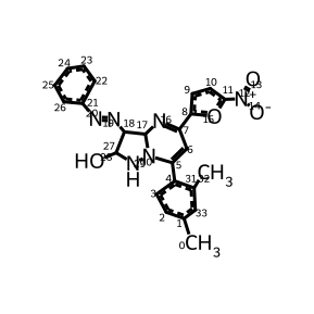 Cc1ccc(C2=CC(c3ccc([N+](=O)[O-])o3)=NC3C(N=Nc4ccccc4)C(O)NN23)c(C)c1